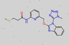 CSCCC(=O)Nc1cccc(COc2nc3ccccc3n2-c2nnnn2C)n1